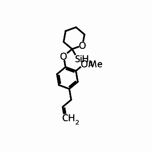 C=CCc1ccc(OC2([SiH3])CCCCO2)c(OC)c1